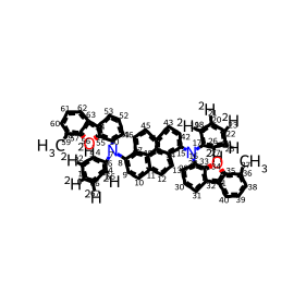 [2H]c1c([2H])c([2H])c(N(c2ccc3ccc4c(N(c5c([2H])c([2H])c([2H])c([2H])c5[2H])c5cccc6c5oc5c(C)cccc56)ccc5ccc2c3c54)c2cccc3c2oc2c(C)cccc23)c([2H])c1[2H]